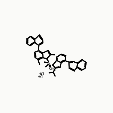 CC1=Cc2c(-c3cccc4ccccc34)ccc(C)c2[CH]1[Zr]([CH3])([CH3])(=[SiH2])[CH]1C(C(C)C)=Cc2c(-c3ccc4ccccc4c3)cccc21.Cl.Cl